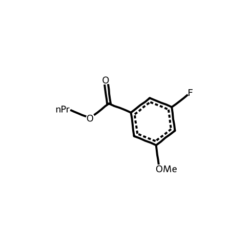 CCCOC(=O)c1cc(F)cc(OC)c1